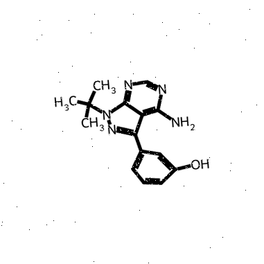 CC(C)(C)n1nc(-c2cccc(O)c2)c2c(N)ncnc21